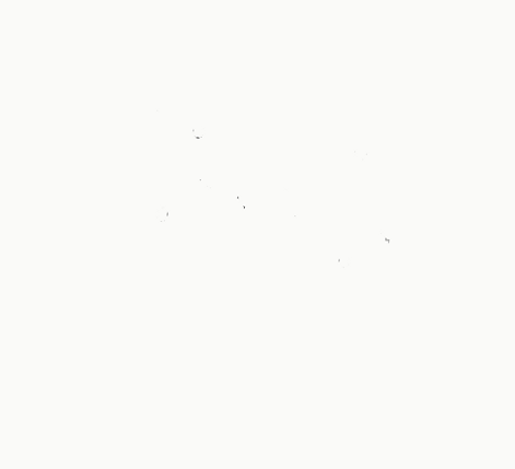 CC(C)(C)OC(=O)N1C(C=O)C(O[Si](C)(C)C)C1c1ccccc1